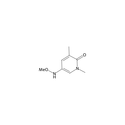 CONc1cc(C)c(=O)n(C)c1